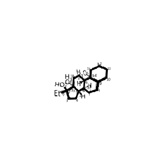 CCC1(O)CC[C@H]2[C@@H]3CCC4CCCC[C@]4(C)[C@H]3CC[C@@]21C